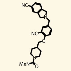 CNC(=O)N1CCC(COc2ccc(CN3Cc4ccc(C#N)cc4C3)cc2C#N)CC1